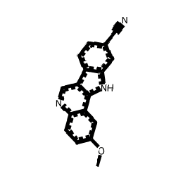 COc1ccc2ncc3c4ccc(C#N)cc4[nH]c3c2c1